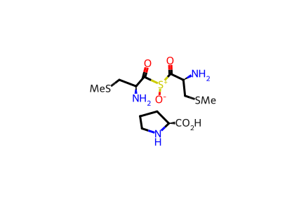 CSC[C@H](N)C(=O)[S+]([O-])C(=O)[C@@H](N)CSC.O=C(O)[C@@H]1CCCN1